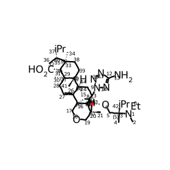 CCN(C)[C@](C)(CO[C@H]1[C@H](n2nnc(N)n2)C[C@@]23COC[C@]1(C)[C@@H]2CC[C@H]1C3=CC[C@@]2(C)[C@H](C(=O)O)[C@@](C)([C@H](C)C(C)C)CC[C@]12C)C(C)C